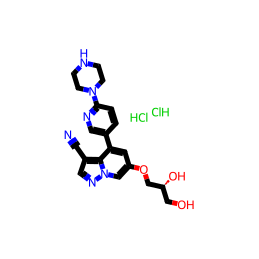 Cl.Cl.N#Cc1cnn2cc(OC[C@H](O)CO)cc(-c3ccc(N4CCNCC4)nc3)c12